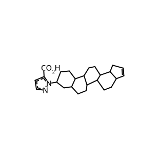 O=C(O)c1ccnn1C1CCC2C(CCC3C2CCC2C4CC=CC4CCC23)C1